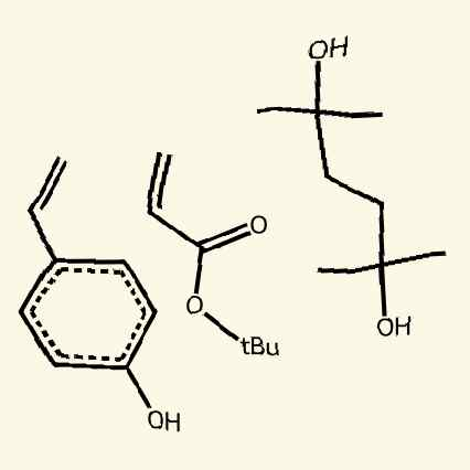 C=CC(=O)OC(C)(C)C.C=Cc1ccc(O)cc1.CC(C)(O)CCC(C)(C)O